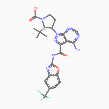 CC(C)(C)[C@@H]1C(n2nc(C(=O)Nc3nc4cc(C(F)(F)F)ccc4o3)c3c(N)ncnc32)CCN1C(=O)O